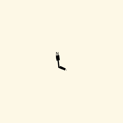 [C]=CC#N